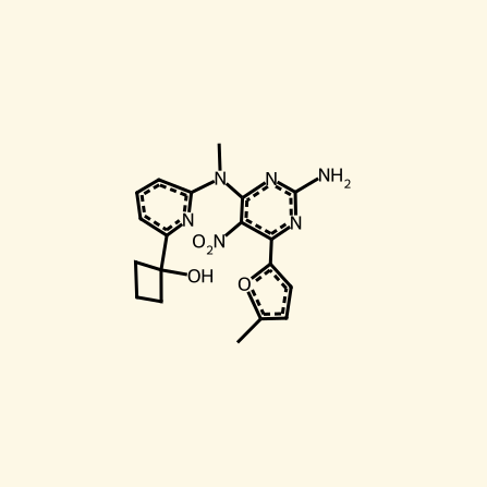 Cc1ccc(-c2nc(N)nc(N(C)c3cccc(C4(O)CCC4)n3)c2[N+](=O)[O-])o1